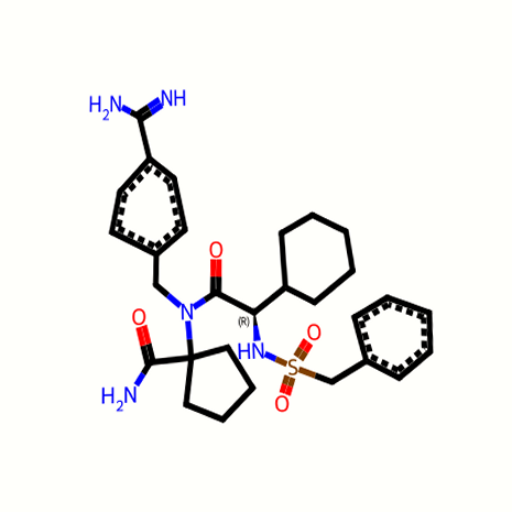 N=C(N)c1ccc(CN(C(=O)[C@H](NS(=O)(=O)Cc2ccccc2)C2CCCCC2)C2(C(N)=O)CCCC2)cc1